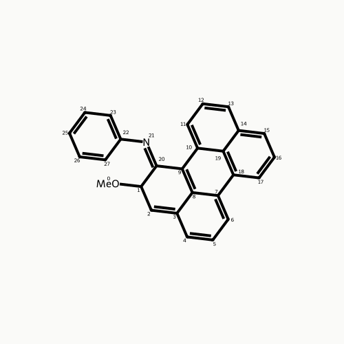 COC1C=c2cccc3c2c(c2cccc4cccc3c42)C1=Nc1ccccc1